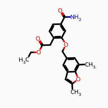 CCOC(=O)Cc1ccc(C(N)=O)cc1OCc1cc(C)c2oc(C)cc2c1